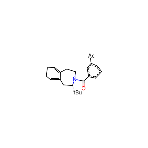 CC(=O)c1cccc(C(=O)N2CCC3=CCCC=C3C[C@H]2C(C)(C)C)c1